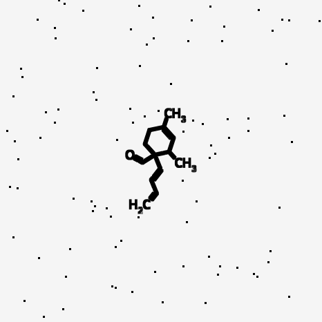 C=CC=CC1(C=O)CCC(C)=CC1C